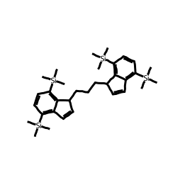 C[Si](C)(C)c1ccc([Si](C)(C)C)c2c1C=CC2CCCC1C=Cc2c([Si](C)(C)C)ccc([Si](C)(C)C)c21